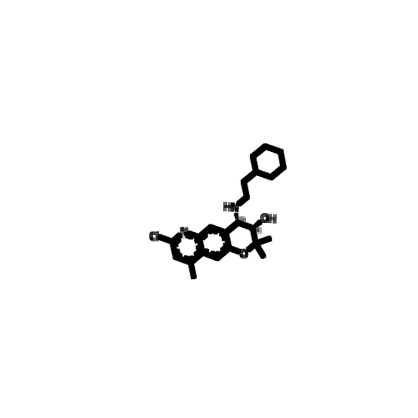 Cc1cc(Cl)nc2cc3c(cc12)OC(C)(C)[C@H](O)[C@H]3NCCC1CCCCC1